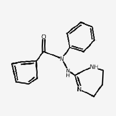 O=C(c1ccccc1)N(NC1=NCCCN1)c1c[c]ccc1